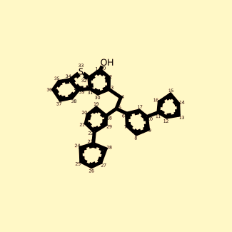 Oc1cc(CC(c2cccc(-c3ccccc3)c2)c2cccc(-c3ccccc3)c2)cc2c1sc1ccccc12